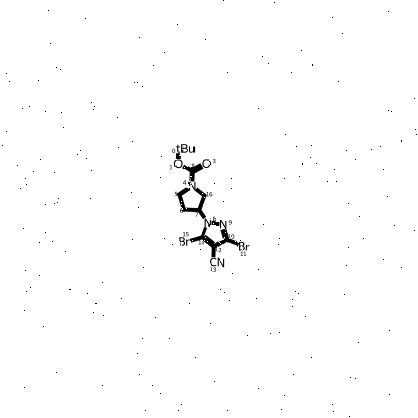 CC(C)(C)OC(=O)N1CCC(n2nc(Br)c(C#N)c2Br)C1